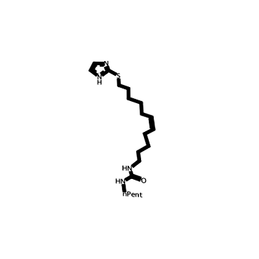 CCCCCNC(=O)NCCCC/C=C\CCCCCSc1ncc[nH]1